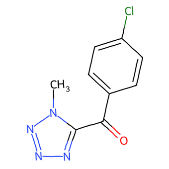 Cn1nnnc1C(=O)c1ccc(Cl)cc1